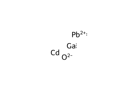 [Cd].[Ga].[O-2].[Pb+2]